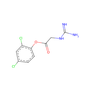 N=C(N)NCC(=O)Oc1ccc(Cl)cc1Cl